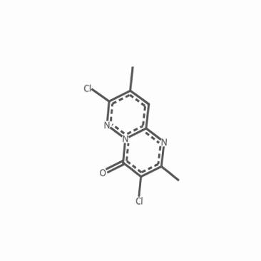 Cc1cc2nc(C)c(Cl)c(=O)n2nc1Cl